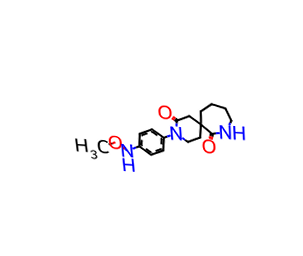 CONc1ccc(N2CCC3(CCCCNC3=O)CC2=O)cc1